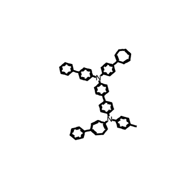 Cc1ccc(N(C2=CCC=C(c3ccccc3)C=C2)c2ccc(-c3ccc(N(c4ccc(C5=CCC=CC=C5)cc4)c4ccc(-c5ccccc5)cc4)cc3)cc2)cc1